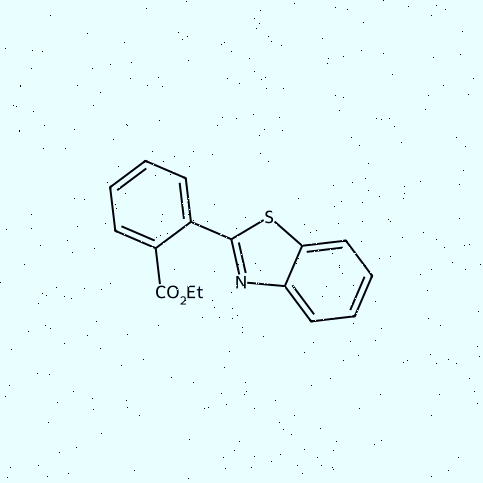 CCOC(=O)c1ccccc1-c1nc2ccccc2s1